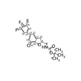 CC(C)(C)OC(=O)NCC1Cc2cc(-c3cc(F)c(F)c(F)c3)cc(Cl)c2O1